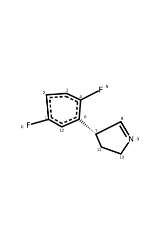 Fc1ccc(F)c([C@@H]2C=NCC2)c1